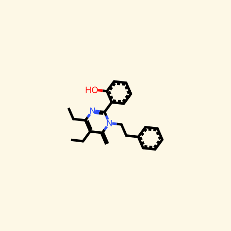 C=C1C(CC)=C(CC)N=C(c2ccccc2O)N1CCc1ccccc1